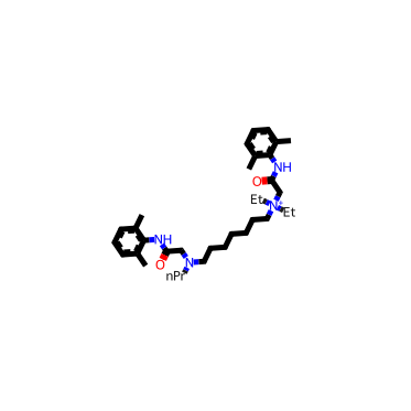 CCCN(CCCCCCC[N+](CC)(CC)CC(=O)Nc1c(C)cccc1C)CC(=O)Nc1c(C)cccc1C